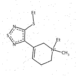 CCSc1nsnc1C1=CCC[N+](C)(CC)C1